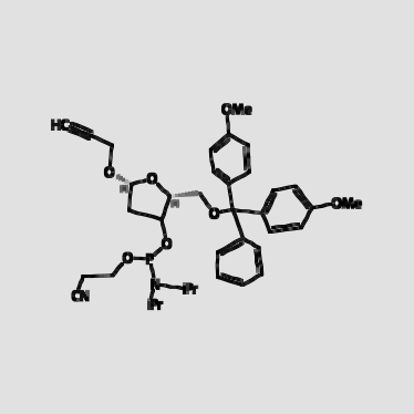 C#CCO[C@H]1CC(OP(OCCC#N)N(C(C)C)C(C)C)[C@@H](COC(c2ccccc2)(c2ccc(OC)cc2)c2ccc(OC)cc2)O1